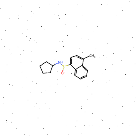 Cc1ccc([S+]([O-])NC2CCCC2)c2ccccc12